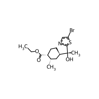 CCOC(=O)[C@@H]1CC[C@@H]([C@@](C)(O)c2ncc(Br)s2)C[C@@H]1C